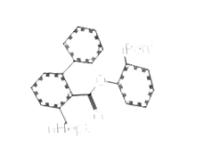 CCCCCCCc1cccc(-c2ccccc2)c1C(=O)Oc1ccccc1C(C)CCC